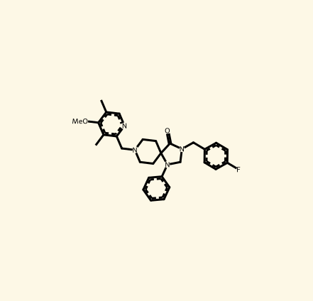 COc1c(C)cnc(CN2CCC3(CC2)C(=O)N(Cc2ccc(F)cc2)CN3c2ccccc2)c1C